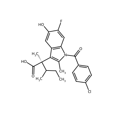 CCC(C)[C@@](C)(C(=O)O)c1c(C)n(C(=O)c2ccc(Cl)cc2)c2cc(F)c(O)cc12